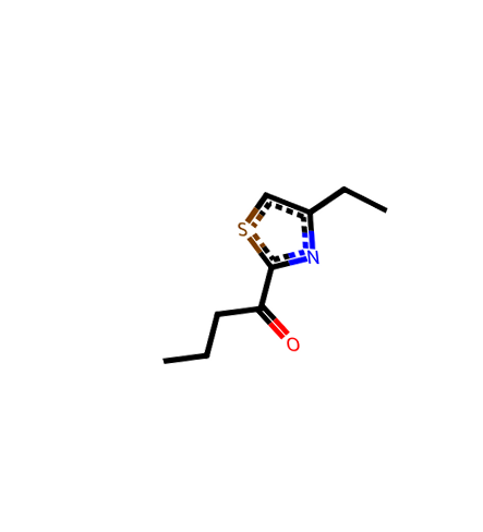 CCCC(=O)c1nc(CC)cs1